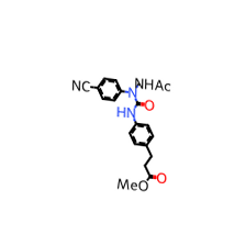 COC(=O)CCc1ccc(NC(=O)N(NC(C)=O)c2ccc(C#N)cc2)cc1